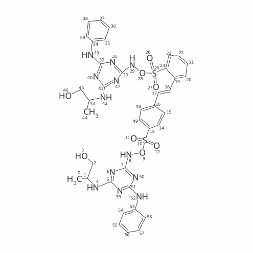 CC(CO)Nc1nc(NOS(=O)(=O)c2ccc(C=Cc3ccccc3S(=O)(=O)ONc3nc(Nc4ccccc4)nc(NC(C)CO)n3)cc2)nc(Nc2ccccc2)n1